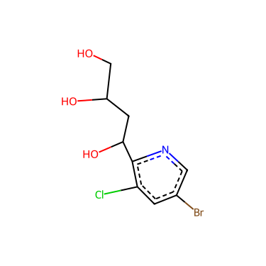 OCC(O)CC(O)c1ncc(Br)cc1Cl